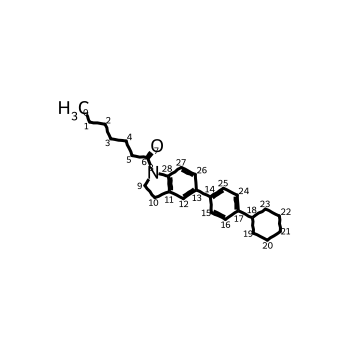 CCCCCCC(=O)N1CCc2cc(-c3ccc(C4CCCCC4)cc3)ccc21